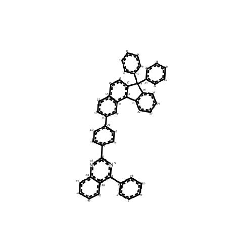 c1ccc(-c2nc(-c3ccc(-c4ccc5ccc6c(c5c4)-c4ccccc4C6(c4ccccc4)c4ccccc4)cc3)nc3ccccc23)cc1